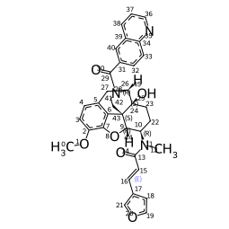 COc1ccc2c3c1O[C@H]1[C@H](N(C)C(=O)/C=C/c4ccoc4)CC[C@@]4(O)[C@@H](C2)N(C(=O)c2ccc5ncccc5c2)CC[C@]314